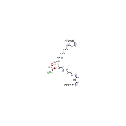 CCCCC/C=C\C/C=C\CCCCCCCCC1(CCCCCCCC/C=C\C/C=C\CCCCC)OCC(CBr)O1